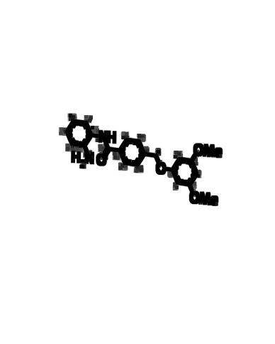 COc1cc(OC)cc(OCc2ccc(C(=O)Nc3ccccc3N)cc2)c1